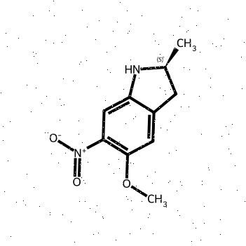 COc1cc2c(cc1[N+](=O)[O-])N[C@@H](C)C2